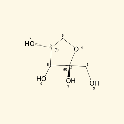 OC[C@@]1(O)OC[C@@H](O)[C]1O